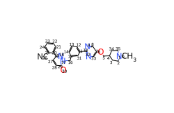 CN1CCC(COc2cnc(-c3cccc(Cn4nc(-c5ccccc5C#N)ccc4=O)c3)nc2)CC1